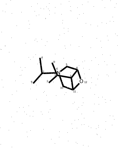 CC(C)C1C2CN(C(C)C)CC1O2